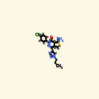 CCCn1cc(-c2nn(-c3ccc(Cl)cc3)c(=O)c3c(N)scc23)nn1